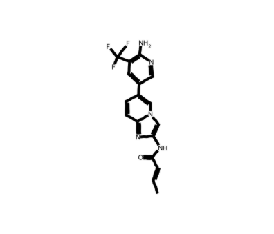 CC=CC(=O)Nc1cn2cc(-c3cnc(N)c(C(F)(F)F)c3)ccc2n1